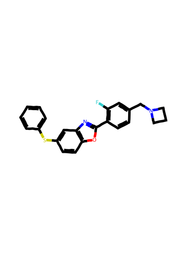 Fc1cc(CN2CCC2)ccc1-c1nc2cc(Sc3ccccc3)ccc2o1